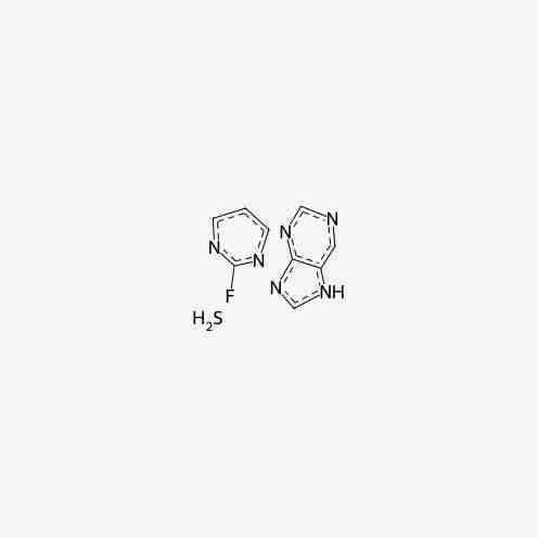 Fc1ncccn1.S.c1ncc2[nH]cnc2n1